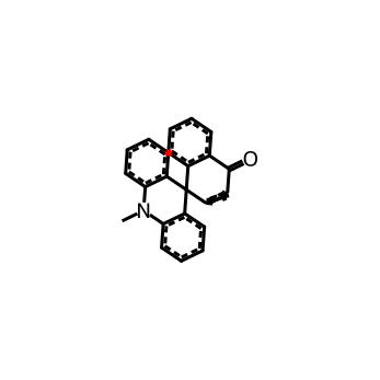 CN1c2ccccc2C2(c3ccccc3C(=O)c3ccccc32)c2ccccc21